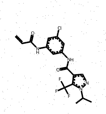 C=CC(=O)Nc1cc(Cl)cc(NC(=O)c2cnn(C(C)C)c2C(F)(F)F)c1